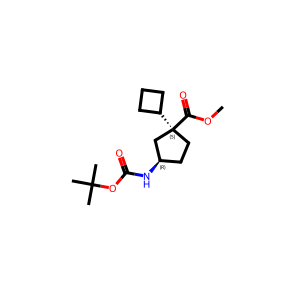 COC(=O)[C@@]1(C2CCC2)CC[C@@H](NC(=O)OC(C)(C)C)C1